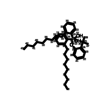 CCCCCCCCCc1ccccc1P(O)(O)(Oc1ccccc1C(C)(C)C)c1ccccc1CCCCCCCCC